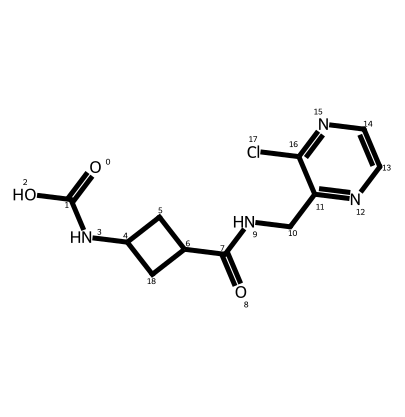 O=C(O)NC1CC(C(=O)NCc2nccnc2Cl)C1